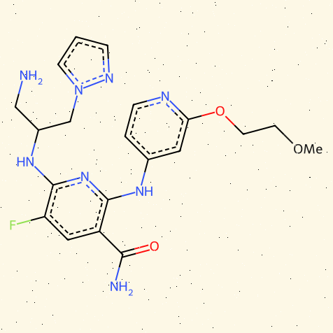 COCCOc1cc(Nc2nc(NC(CN)Cn3cccn3)c(F)cc2C(N)=O)ccn1